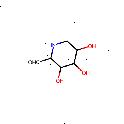 O=CC1NCC(O)C(O)C1O